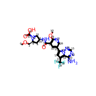 COC[C@@H]1C[C@H](NC(=O)c2cc(-c3cc(C(F)(F)F)c4c(N)ncnn34)cnc2OC)CN1C(=O)O